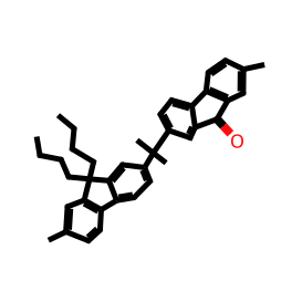 CCCCC1(CCCC)c2cc(C)ccc2-c2ccc(C(C)(C)c3ccc4c(c3)C(=O)c3cc(C)ccc3-4)cc21